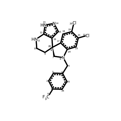 FC(F)(F)c1ccc(CN2C[C@]3(CCNc4[nH]ncc43)c3cc(Cl)c(Cl)cc32)cc1